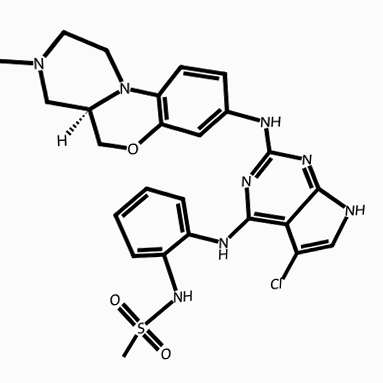 CN1CCN2c3ccc(Nc4nc(Nc5ccccc5NS(C)(=O)=O)c5c(Cl)c[nH]c5n4)cc3OC[C@H]2C1